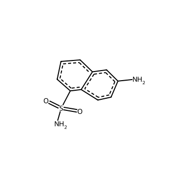 Nc1ccc2c(S(N)(=O)=O)cccc2c1